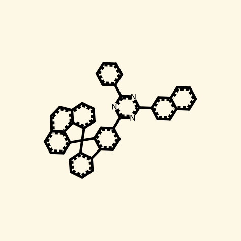 c1ccc(-c2nc(-c3ccc4c(c3)C3(c5ccccc5-4)c4cccc5ccc6cccc3c6c45)nc(-c3ccc4ccccc4c3)n2)cc1